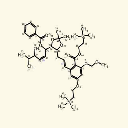 COCOc1cc(OCC[Si](C)(C)C)cc(/C=C/C[C@@H]2OC(C)(C)O[C@@H]2C(/C=C\C(C)C(C)C)OC(=O)c2ccccc2)c1C(=O)OCC[Si](C)(C)C